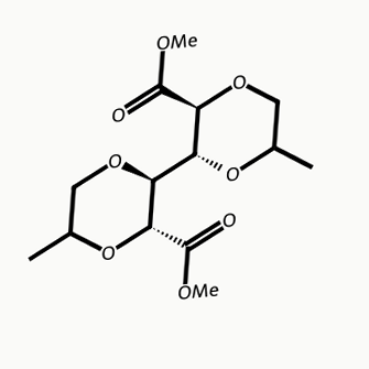 COC(=O)[C@H]1OCC(C)O[C@@H]1[C@@H]1OCC(C)O[C@H]1C(=O)OC